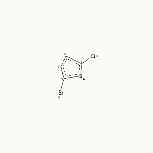 Clc1ccc(Br)s1